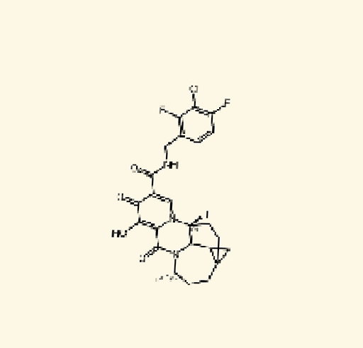 C[C@H]1CCC23CC[C@@H]4C(C2C3)N1C(=O)c1c(O)c(=O)c(C(=O)NCc2ccc(F)c(Cl)c2F)cn14